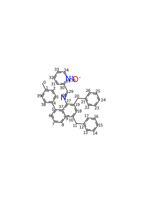 Cc1ccc(-c2cccc3c(Cc4ccccc4)cc(Cc4ccccc4)c(N=Cc4cccc[n+]4[O-])c23)cc1